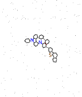 c1ccc(-c2ccccc2N(c2ccc(-c3ccc4c(c3)sc3c5ccccc5ccc43)cc2)c2cccc3c2c2ccccc2n3-c2ccccc2)cc1